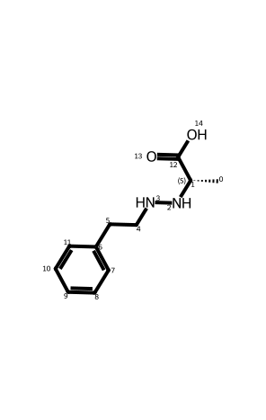 C[C@H](NNCCc1ccccc1)C(=O)O